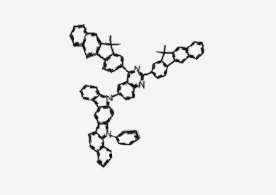 CC1(C)c2cc(-c3nc(-c4ccc5c(c4)C(C)(C)c4cc6ccccc6cc4-5)c4cc(-n5c6ccccc6c6cc7c8ccc9ccccc9c8n(-c8ccccc8)c7cc65)ccc4n3)ccc2-c2cc3ccccc3cc21